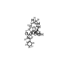 CC1=CC23C(=O)[C@@H](C=C(CO)[C@@H](O)[C@]2(O)[C@H]1OC(=O)N(C)[C@@H](C)c1ccccc1)[C@H]1[C@@H](CC3C)C1(C)C